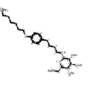 CCCCCCCCCCCCCCCCOc1ccc(CCCCO[C@@H]2O[C@H](COC(C)=O)[C@@H](OC(C)=O)[C@H](OC(C)=O)[C@H]2OC(C)=O)cc1